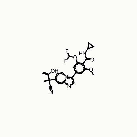 C=C(O)C(C)(C#N)c1ccn2c(-c3cc(OC)c(C(=O)NC4CC4)c(OC(F)F)c3)cnc2c1